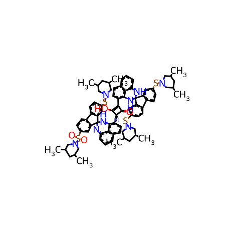 CC1CC(C)CN(Sc2ccc3c(c2)C2(N=c4cccc5cc/c(=C6\C(=O)C(c7ccc8cccc9c8c7NC7(N9)c8cc(SN9CC(C)CC(C)C9)ccc8-c8ccc(SN9CC(C)CC(C)C9)cc87)=C6O)c(c45)N2)c2cc(S(=O)(=O)N4CC(C)CC(C)C4)ccc2-3)C1